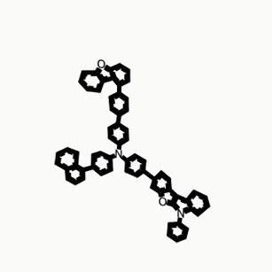 c1ccc(-n2c3ccccc3c3c4ccc(-c5ccc(N(c6ccc(-c7ccc(-c8cccc9oc%10ccccc%10c89)cc7)cc6)c6ccc(-c7cccc8ccccc78)cc6)cc5)cc4oc32)cc1